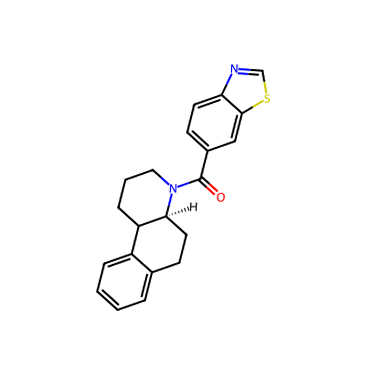 O=C(c1ccc2ncsc2c1)N1CCCC2c3ccccc3CC[C@@H]21